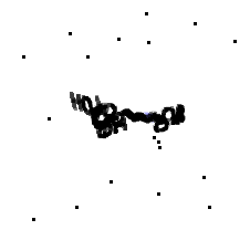 C[C@@H]1O[C@@H](OCCC/C=C/C(=O)OC(C)(C)C)[C@H](O)C[C@H]1O